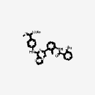 CCCCc1ccccc1C(=O)Nc1cccc(-c2cn3ccnc3c(Nc3ccc(/C(=N\C)NC)cc3)n2)c1C